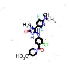 CN(C)c1nc(F)c(-c2c(Nc3ccc(C(=O)N4CCC(C(=O)O)CC4)c(Cl)c3)[nH]c(=O)n2C)cc1F